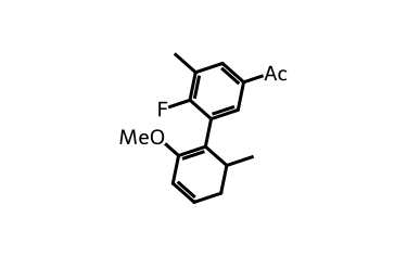 COC1=C(c2cc(C(C)=O)cc(C)c2F)C(C)CC=C1